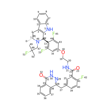 C[C@@H]1Cc2c([nH]c3ccccc23)[C@@H](c2c(F)cc(OCCNC(=O)c3cc(Cc4n[nH]c(=O)c5ccccc45)ccc3F)cc2F)N1CC(C)(C)F